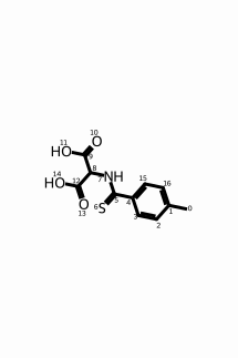 Cc1ccc(C(=S)NC(C(=O)O)C(=O)O)cc1